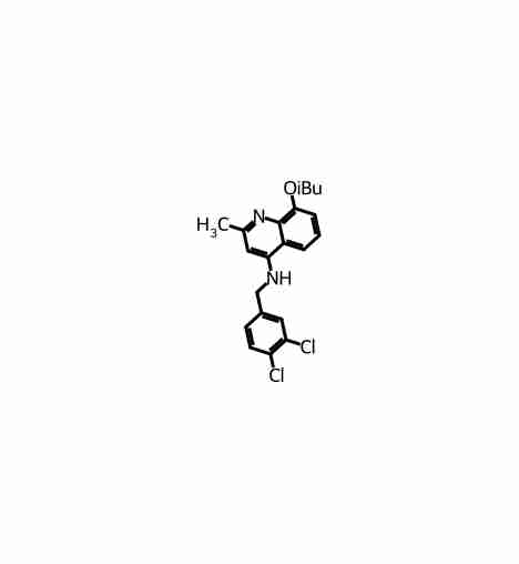 Cc1cc(NCc2ccc(Cl)c(Cl)c2)c2cccc(OCC(C)C)c2n1